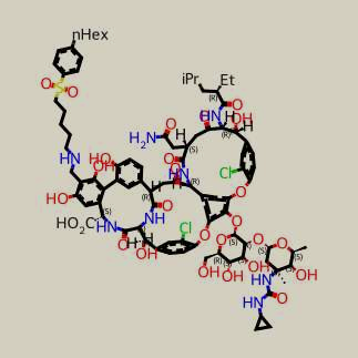 CCCCCCc1ccc(S(=O)(=O)CCCCCNCc2c(O)cc3c(c2O)-c2cc(ccc2O)[C@H]2CC(=O)[C@@H]4NC(=O)[C@H](CC(N)=O)CC(=O)[C@H](NC(=O)[C@H](CC)CC(C)C)[C@H](O)c5ccc(c(Cl)c5)Oc5cc4cc(c5O[C@@H]4O[C@H](CO)[C@@H](O)[C@H](O)[C@H]4O[C@H]4C[C@](C)(NC(=O)NC5CC5)[C@H](O)[C@H](C)O4)Oc4ccc(cc4Cl)[C@@H](O)[C@H](NC2=O)C(=O)N[C@@H]3C(=O)O)cc1